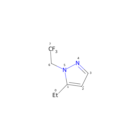 CCc1[c]cnn1CC(F)(F)F